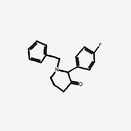 O=C1CCCN(Cc2ccccc2)C1c1ccc(F)cc1